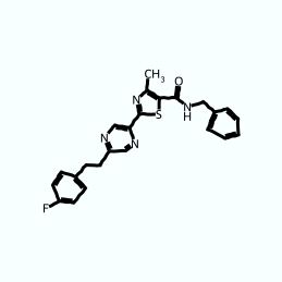 Cc1nc(-c2cnc(CCc3ccc(F)cc3)cn2)sc1C(=O)NCc1ccccc1